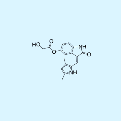 Cc1cc(C)c(C=C2C(=O)Nc3ccc(OC(=O)CO)cc32)[nH]1